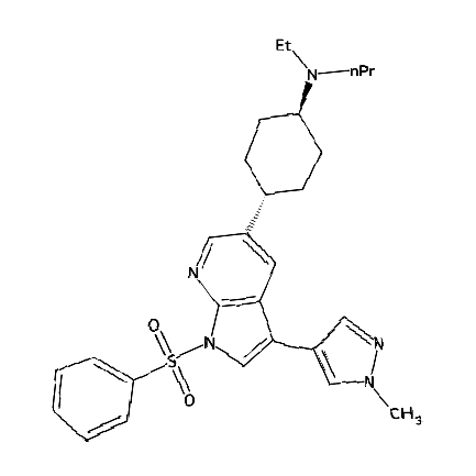 CCCN(CC)[C@H]1CC[C@H](c2cnc3c(c2)c(-c2cnn(C)c2)cn3S(=O)(=O)c2ccccc2)CC1